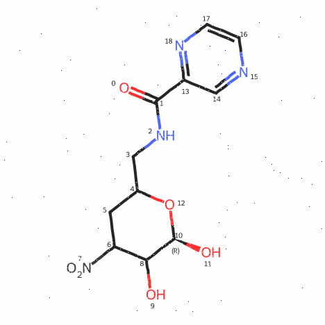 O=C(NCC1CC([N+](=O)[O-])C(O)[C@H](O)O1)c1cnccn1